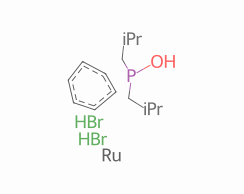 Br.Br.CC(C)CP(O)CC(C)C.[Ru].c1ccccc1